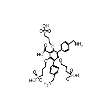 NCc1ccc(-c2c(OCCCS(=O)(=O)O)c(C(=O)O)c(OCCCS(=O)(=O)O)c(-c3ccc(CN)cc3)c2OCCCS(=O)(=O)O)cc1